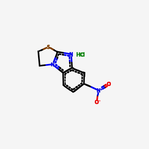 Cl.O=[N+]([O-])c1ccc2c(c1)nc1n2CCS1